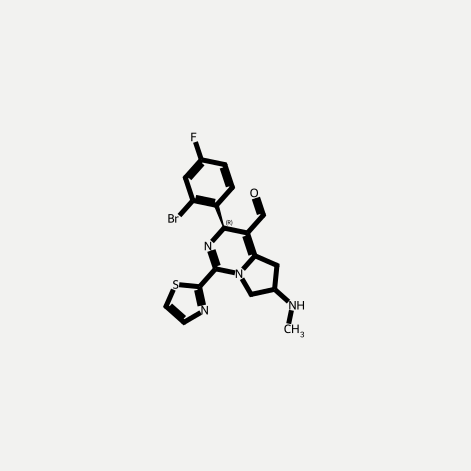 CNC1CC2=C(C=O)[C@H](c3ccc(F)cc3Br)N=C(c3nccs3)N2C1